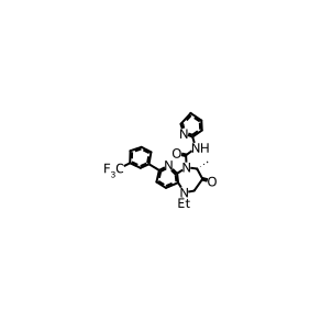 CCN1CC(=O)[C@@H](C)N(C(=O)Nc2ccccn2)c2nc(-c3cccc(C(F)(F)F)c3)ccc21